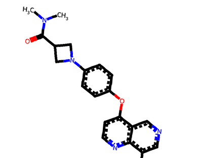 CN(C)C(=O)C1CN(c2ccc(Oc3ccnc4c(F)cncc34)cc2)C1